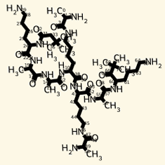 CC(N)C(=O)NCCCCC(NC(=O)C(C)NC(=O)C(C)NC(=O)C(CCCCN)NC(=O)CC(C)(C)C)C(=O)NC(CCCCNC(=O)C(C)N)C(=O)NC(C)C(=O)NC(CCCCN)C(=O)C(C)(C)C